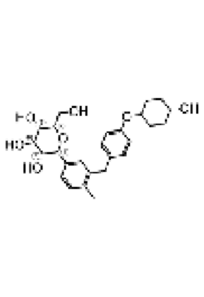 Cc1ccc([C@@H]2O[C@H](CO)[C@@H](O)[C@H](O)[C@H]2O)cc1Cc1ccc(O[C@H]2CC[C@@H](O)CC2)cc1